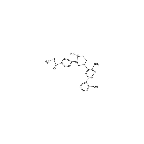 COC(=O)c1ccc([C@@H]2CN(c3cc(-c4ccccc4O)nnc3N)CC[C@H]2C)cc1